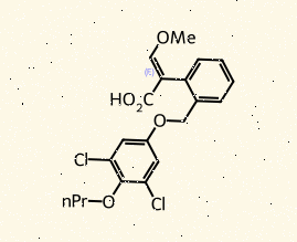 CCCOc1c(Cl)cc(OCc2ccccc2/C(=C\OC)C(=O)O)cc1Cl